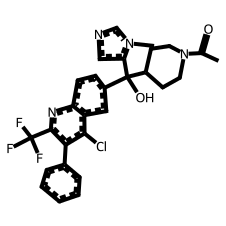 CC(=O)N1CCC(C(O)(c2ccc3nc(C(F)(F)F)c(-c4ccccc4)c(Cl)c3c2)c2cncn2C)CC1